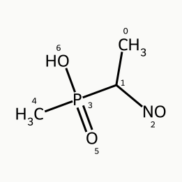 CC(N=O)P(C)(=O)O